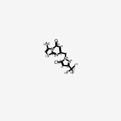 CC(=O)c1csc2nc(Cn3nc(C(F)(F)I)cc3Cl)cc(=O)n12